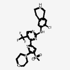 CS(=O)(=O)c1cc(-c2nc(Nc3cc4c(cc3Cl)CNCC4)ncc2C(F)(F)F)sc1N1CCOCC1